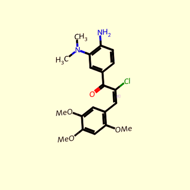 COc1cc(OC)c(OC)cc1/C=C(/Cl)C(=O)c1ccc(N)c(N(C)C)c1